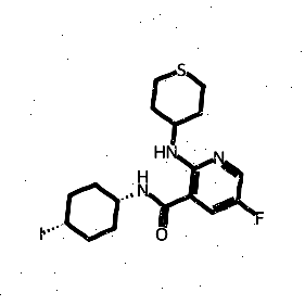 O=C(N[C@H]1CC[C@@H](I)CC1)c1cc(F)cnc1NC1CCSCC1